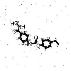 CCc1ccc(OC(=O)Nc2ccc(C(=O)NO)cc2)cc1